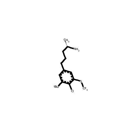 C[C@H](N)CCCc1cc(SC(F)(F)F)c(Cl)c(C(C)(C)C)c1